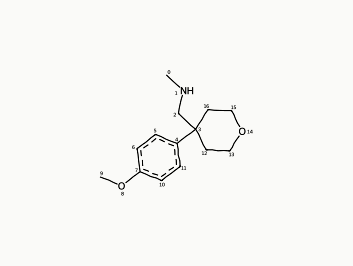 CNCC1(c2ccc(OC)cc2)CCOCC1